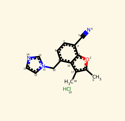 Cc1oc2c(C#N)ccc(Cn3ccnc3)c2c1C.Cl